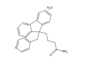 NC(=O)CCCC1(Cc2ccncc2)c2ccccc2-c2ccccc21.O